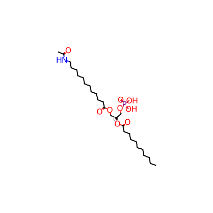 CCCCCCCCCCC(=O)O[C@@H](COC(=O)CCCCCCCCCCCNC(C)=O)COP(=O)(O)O